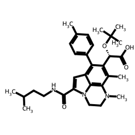 Cc1ccc(-c2c([C@H](OC(C)(C)C)C(=O)O)c(C)c3c4c2cc(C(=O)NCCC(C)C)n4CCN3C)cc1